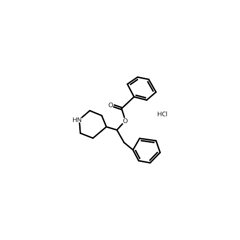 Cl.O=C(OC(Cc1ccccc1)C1CCNCC1)c1ccccc1